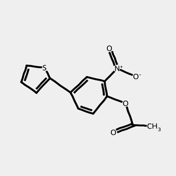 CC(=O)Oc1ccc(-c2cccs2)cc1[N+](=O)[O-]